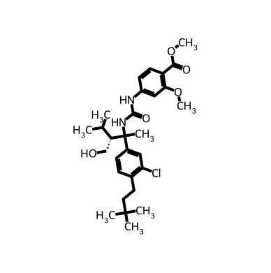 COC(=O)c1ccc(NC(=O)NC(C)(c2ccc(CCC(C)(C)C)c(Cl)c2)[C@H](CO)C(C)C)cc1OC